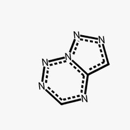 c1nnn2nncc2n1